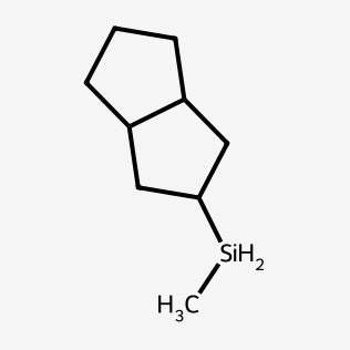 C[SiH2]C1CC2CCCC2C1